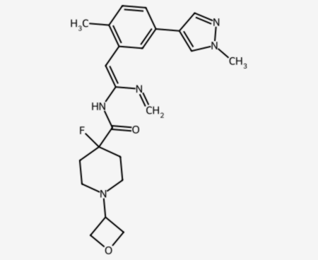 C=N/C(=C\c1cc(-c2cnn(C)c2)ccc1C)NC(=O)C1(F)CCN(C2COC2)CC1